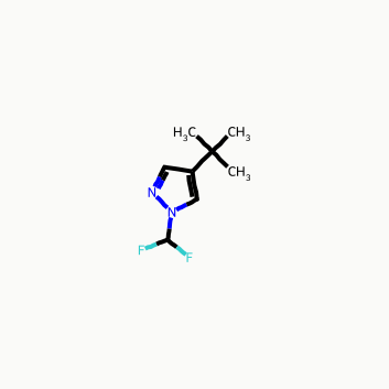 CC(C)(C)c1cnn(C(F)F)c1